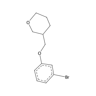 Brc1cccc(OCC2CCCOC2)c1